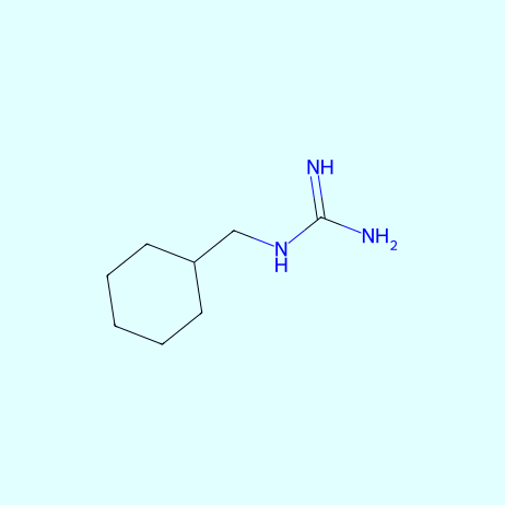 N=C(N)NCC1CCCCC1